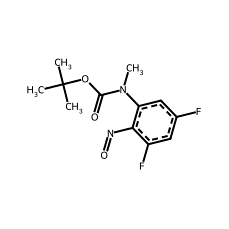 CN(C(=O)OC(C)(C)C)c1cc(F)cc(F)c1N=O